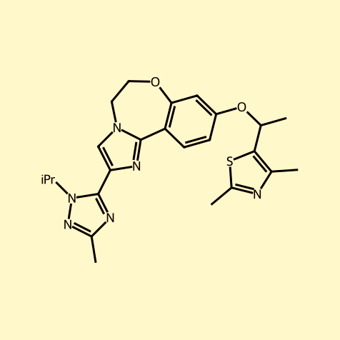 Cc1nc(-c2cn3c(n2)-c2ccc(OC(C)c4sc(C)nc4C)cc2OCC3)n(C(C)C)n1